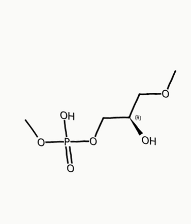 COC[C@@H](O)COP(=O)(O)OC